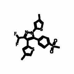 Cc1csc(-c2c(C(F)F)nn(-c3cc(C)cs3)c2-c2ccc(S(C)(=O)=O)cc2)c1